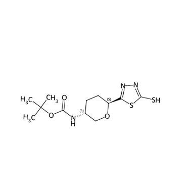 CC(C)(C)OC(=O)N[C@@H]1CC[C@@H](c2nnc(S)s2)OC1